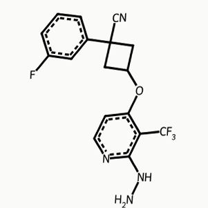 N#CC1(c2cccc(F)c2)CC(Oc2ccnc(NN)c2C(F)(F)F)C1